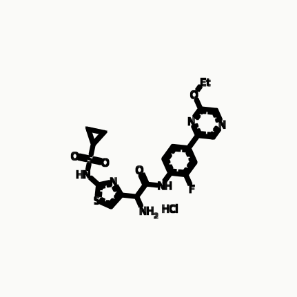 CCOc1cncc(-c2ccc(NC(=O)C(N)c3csc(NS(=O)(=O)C4CC4)n3)c(F)c2)n1.Cl